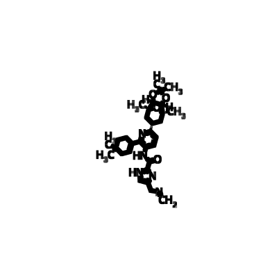 C=NCc1c[nH]c(C(=O)Nc2ccc([C@H]3C[C@@]4(C)O[C@@](C)(C3)[C@@H]3OC(C)(C)O[C@@H]34)nc2C2=CCC(C)(C)CC2)n1